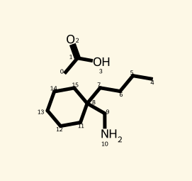 CC(=O)O.CCCCC1(CN)CCCCC1